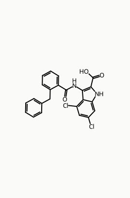 O=C(Nc1c(C(=O)O)[nH]c2cc(Cl)cc(Cl)c12)c1ccccc1Cc1ccccc1